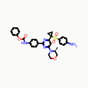 C[C@H]1COCCN1c1cc(C2(S(=O)(=O)c3ccc(N)cc3)CC2)nc(-c2ccc(NC(=O)Oc3ccccc3)cc2)n1